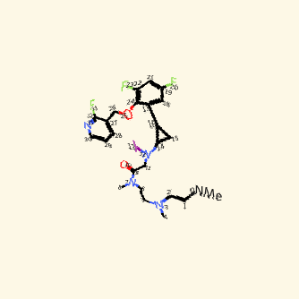 CNCCN(C)CCN(C)C(=O)CN(I)C1CC1c1cc(F)cc(F)c1OCc1cccnc1F